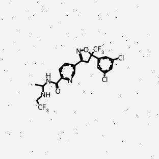 CC(NCC(F)(F)F)NC(=O)c1ccc(C2=NOC(c3cc(Cl)cc(Cl)c3)(C(F)(F)F)C2)cn1